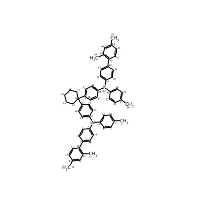 Cc1ccc(N(c2ccc(-c3ccc(C)cc3C)cc2)c2ccc(C3(c4ccc(N(c5ccc(C)cc5)c5ccc(-c6ccc(C)cc6C)cc5)cc4)CCCCC3)cc2)cc1